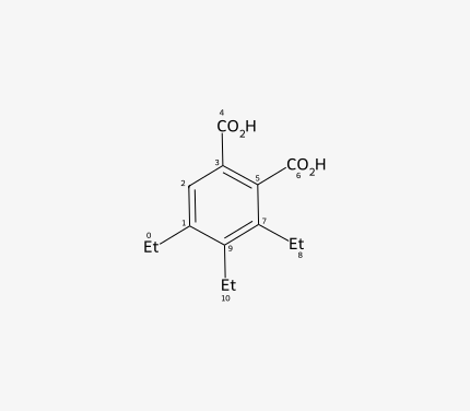 CCc1cc(C(=O)O)c(C(=O)O)c(CC)c1CC